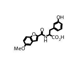 COc1ccc2oc(C(=O)NC(Cc3cccc(O)c3)C(=O)O)cc2c1